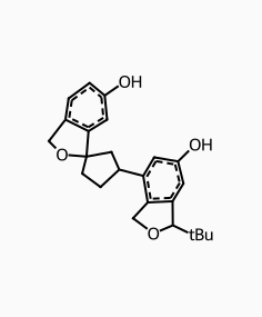 CC(C)(C)C1OCc2c(C3CCC4(C3)OCc3ccc(O)cc34)cc(O)cc21